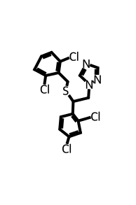 Clc1ccc(C(Cn2cncn2)SCc2c(Cl)cccc2Cl)c(Cl)c1